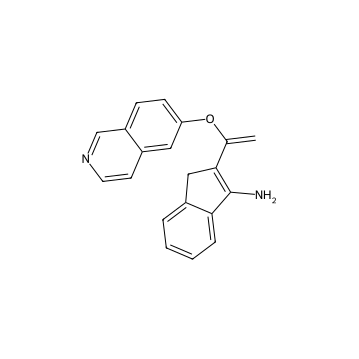 C=C(Oc1ccc2cnccc2c1)C1=C(N)c2ccccc2C1